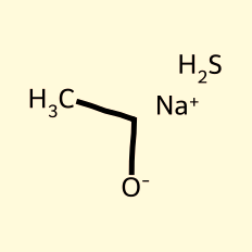 CC[O-].S.[Na+]